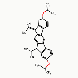 N#CC(C#N)=C1C2=C(C#CC(OC(C(F)(F)F)C(F)(F)F)C2)c2cc3c(cc21)C(C(C#N)C#N)c1cc(OC(C(F)(F)F)C(F)(F)F)c#cc1-3